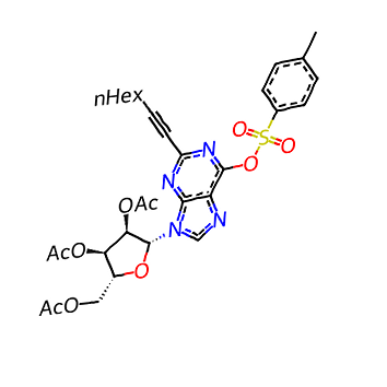 CCCCCCC#Cc1nc(OS(=O)(=O)c2ccc(C)cc2)c2ncn([C@@H]3O[C@H](COC(C)=O)[C@@H](OC(C)=O)[C@H]3OC(C)=O)c2n1